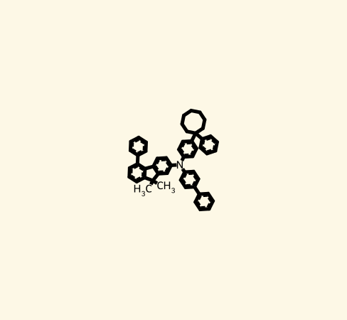 CC1(C)c2cc(N(c3ccc(-c4ccccc4)cc3)c3ccc(C4(c5ccccc5)CCCCCCC4)cc3)ccc2-c2c(-c3ccccc3)cccc21